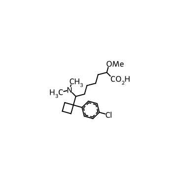 COC(CCCCC(N(C)C)C1(c2ccc(Cl)cc2)CCC1)C(=O)O